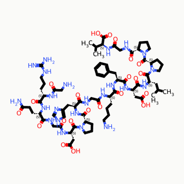 CC(C)C[C@H](NC(=O)[C@H](CC(=O)O)NC(=O)[C@H](Cc1ccccc1)NC(=O)[C@H](CCCCN)NC(=O)CNC(=O)[C@H](Cc1c[nH]cn1)NC(=O)[C@@H]1CCCN1C(=O)[C@H](CC(=O)O)NC(=O)CNC(=O)[C@H](CCC(N)=O)NC(=O)[C@H](CCCNC(=N)N)NC(=O)CN)C(=O)N1CCC[C@H]1C(=O)N1CCC[C@H]1C(=O)NCC(=O)N[C@H](C(=O)O)C(C)C